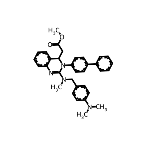 COC(=O)CC1c2ccccc2N=C(N(C)Cc2ccc(N(C)C)cc2)N1c1ccc(-c2ccccc2)cc1